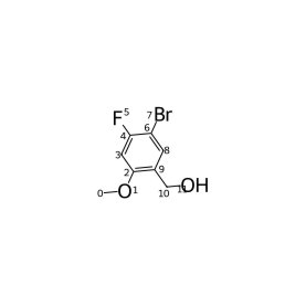 COc1cc(F)c(Br)cc1CO